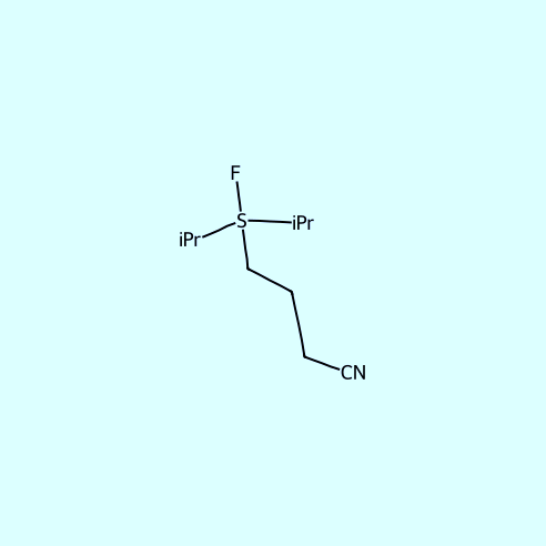 CC(C)S(F)(CCCC#N)C(C)C